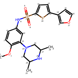 COc1ccc(NS(=O)(=O)c2ccc(-c3ccoc3)s2)cc1N1CC(C)NC(C)C1